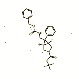 CC(C)(C)OC(=O)N1C[C@@H]2[C@H](C1)C2(CNC(=O)OCc1ccccc1)c1ccccc1